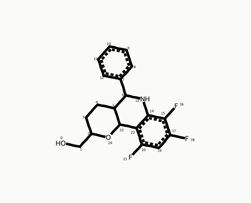 OCC1CCC2C(c3ccccc3)Nc3c(F)c(F)cc(F)c3C2O1